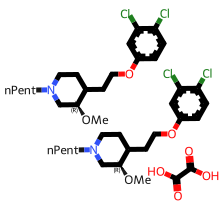 CCCCCN1CCC(CCOc2ccc(Cl)c(Cl)c2)[C@@H](OC)C1.CCCCCN1CCC(CCOc2ccc(Cl)c(Cl)c2)[C@@H](OC)C1.O=C(O)C(=O)O